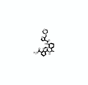 CC(Nc1ncnc2c(C(N)=O)cccc12)c1cccc(NC(=O)c2ccoc2CN2CCOCC2)c1